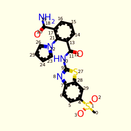 CS(=O)(=O)c1ccc2nc(NC(=O)c3cccc(C(N)=O)c3-n3cccc3)sc2c1